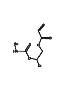 C=CC(=O)OCC(CC)OC(=O)NC(C)CC